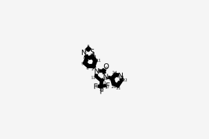 O=C1N(c2ccc3ncsc3c2)CC(C(F)(F)F)N1c1cccnc1